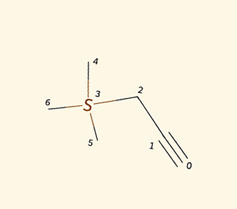 C#CCS(C)(C)C